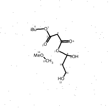 CCC(C)OC(=O)CC(=O)OC(O)CCO.COC